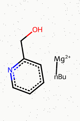 CCC[CH2][Mg+2].OCc1ccccn1